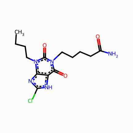 CCCCn1c(=O)n(CCCCC(N)=O)c(=O)c2[nH]c(Cl)nc21